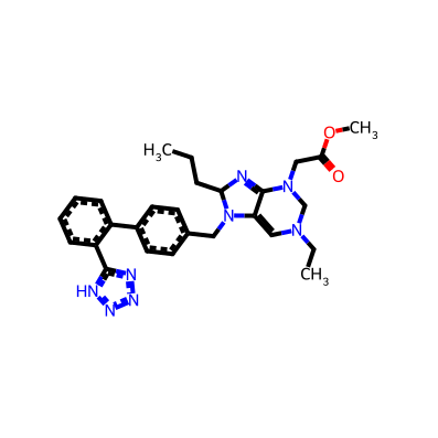 CCCC1N=C2C(=CN(CC)CN2CC(=O)OC)N1Cc1ccc(-c2ccccc2-c2nnn[nH]2)cc1